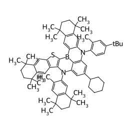 Cc1cc(C(C)(C)C)ccc1N1c2cc3c(cc2B2c4sc5cc6c(cc5c4N(c4cc5c(cc4C)C(C)(C)CCC5(C)C)c4cc(C5CCCCC5)cc1c42)C(C)(C)CCC6(C)C)C(C)(C)CCC3(C)C